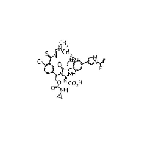 CN(C)/C=N/C(=S)c1cc(C(COC(=O)NC2CC2)N2C(=O)[C@@](CC(C)(C)C)(c3ccc(-c4cnn(C(F)F)c4)cc3)NC2=NC(=O)O)ccc1Cl